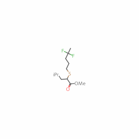 COC(=O)C(CC(C)C)SCCCC(C)(F)F